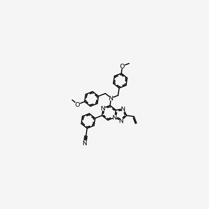 C=Cc1nc2c(N(Cc3ccc(OC)cc3)Cc3ccc(OC)cc3)nc(-c3cccc(C#N)c3)cn2n1